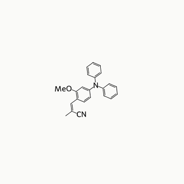 COc1cc(N(c2ccccc2)c2ccccc2)ccc1/C=C(/C)C#N